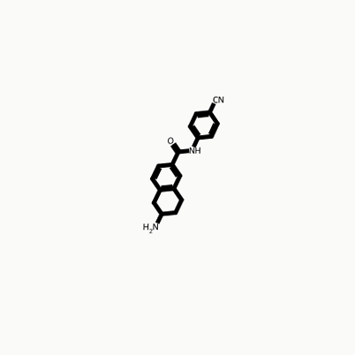 N#Cc1ccc(NC(=O)c2ccc3c(c2)CCC(N)C3)cc1